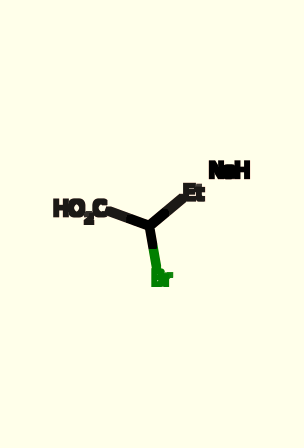 CCC(Br)C(=O)O.[NaH]